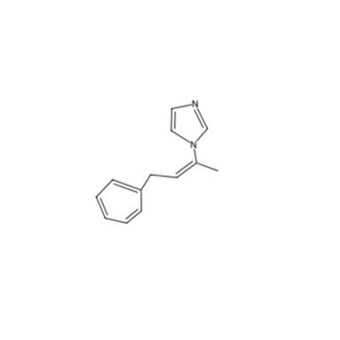 C/C(=C/Cc1ccccc1)n1ccnc1